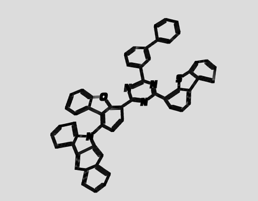 c1ccc(-c2cccc(-c3nc(-c4ccc(-n5c6ccccc6c6cc7ccccc7cc65)c5c4oc4ccccc45)nc(-c4cccc5c4sc4ccccc45)n3)c2)cc1